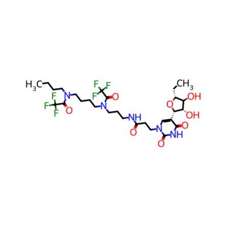 CCCCN(CCCCN(CCCNC(=O)CCn1cc([C@@H]2O[C@H](CC)C(O)[C@@H]2O)c(=O)[nH]c1=O)C(=O)C(F)(F)F)C(=O)C(F)(F)F